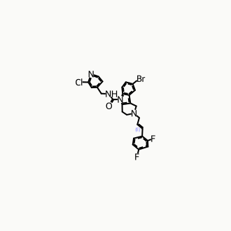 O=C(NCc1ccnc(Cl)c1)n1c2c(c3cc(Br)ccc31)CN(C/C=C/c1ccc(F)cc1F)CC2